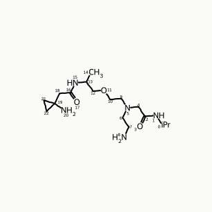 CC(C)NC(=O)CN(CCN)CCOCC(C)NC(=O)CC1(N)CC1